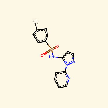 O=S(=O)(Nc1ccnn1-c1ccccn1)c1ccc(C(F)(F)F)cc1